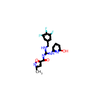 Cc1cc(C(=O)/N=C(/NCc2cc(F)c(F)c(F)c2)Nc2cccc(O)n2)on1